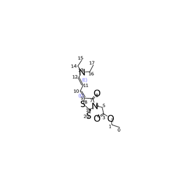 CCOC(=O)CN1C(=O)/C(=C\C=C\N(CC)CC)SC1=S